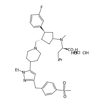 CCn1nc(Cc2ccc(S(C)(=O)=O)cc2)cc1C1CCN(C[C@H]2CC(N(C)[C@H](CC(C)C)C(=O)O)C[C@@H]2c2cccc(F)c2)CC1.Cl.Cl.Cl